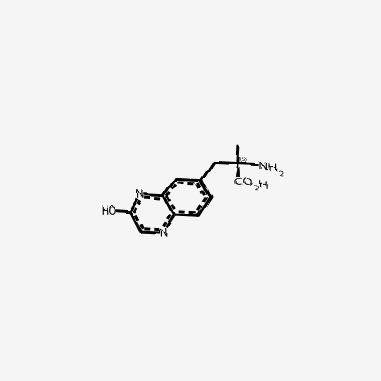 C[C@](N)(Cc1ccc2ncc(O)nc2c1)C(=O)O